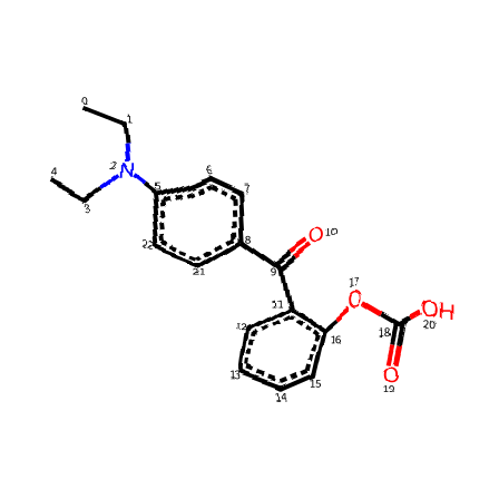 CCN(CC)c1ccc(C(=O)c2ccccc2OC(=O)O)cc1